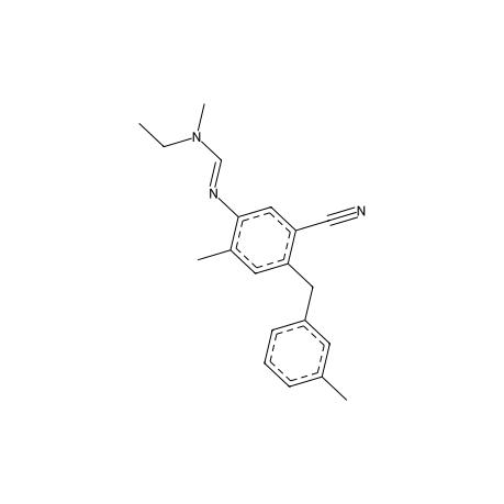 CCN(C)C=Nc1cc(C#N)c(Cc2cccc(C)c2)cc1C